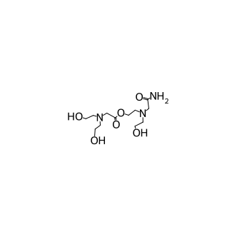 NC(=O)CN(CCO)CCOC(=O)CN(CCO)CCO